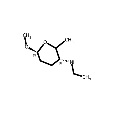 CCN[C@@H]1CC[C@@H](OC)OC1C